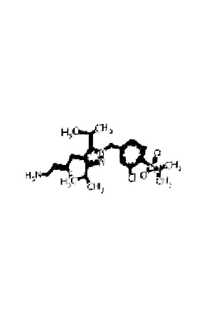 CC(C)c1nn(Cc2ccc(S(=O)(=O)N(C)C)c(Cl)c2)c(C(C)C)c1CC(F)=CCN